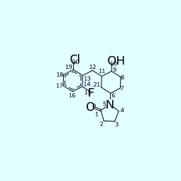 O=C1CCCN1C1CCC(O)C(Cc2c(F)cccc2Cl)C1